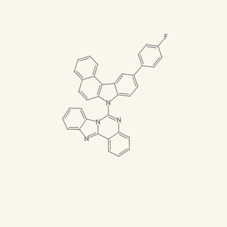 Fc1ccc(-c2ccc3c(c2)c2c4ccccc4ccc2n3-c2nc3ccccc3c3nc4ccccc4n23)cc1